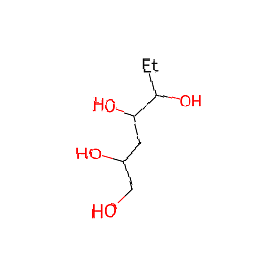 CCC(O)C(O)CC(O)CO